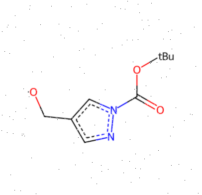 CC(C)(C)OC(=O)n1cc(C[O])cn1